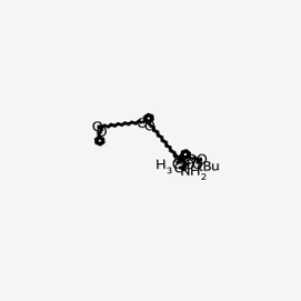 Cc1c(C(=O)C(N)=O)c2c(OCC(=O)OC(C)(C)C)cccc2n1CCCCCCCCCCCCOc1ccccc1OCCCCCCCCCCCC(=O)OCc1ccccc1